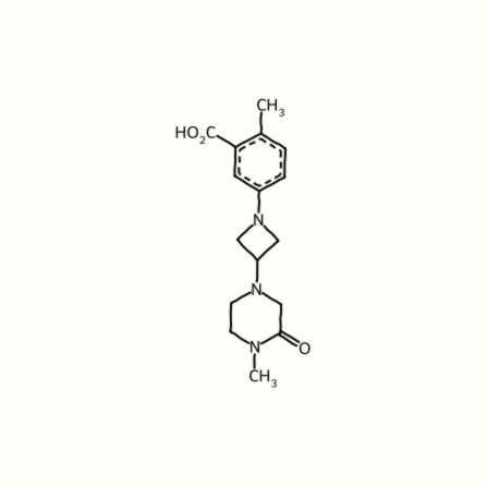 Cc1ccc(N2CC(N3CCN(C)C(=O)C3)C2)cc1C(=O)O